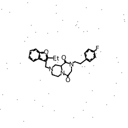 CCc1oc2ccccc2c1CN1CCN2C(=O)CN(CCc3ccc(F)cc3)C(=O)C2C1